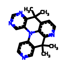 CC1(C)c2ccnc3c2N(c2ccncc2C3(C)C)c2cncnc21